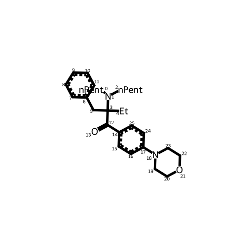 CCCCCN(CCCCC)C(CC)(Cc1ccccc1)C(=O)c1ccc(N2CCOCC2)cc1